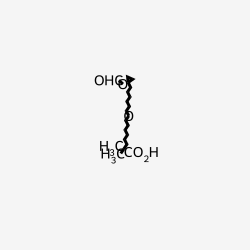 CC(C)(CCCCCCOCCCCCCC1(OC=O)CC1)C(=O)O